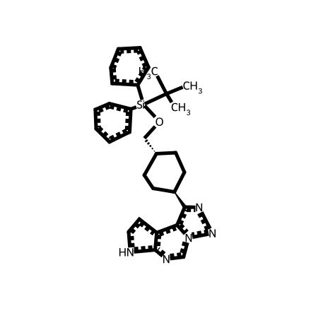 CC(C)(C)[Si](OC[C@H]1CC[C@H](c2nnn3cnc4[nH]ccc4c23)CC1)(c1ccccc1)c1ccccc1